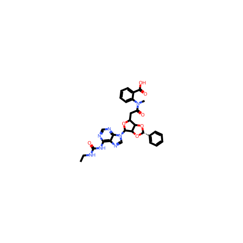 CCNC(=O)Nc1ncnc2c1ncn2C1OC(CC(=O)N(C)c2ccccc2C(=O)O)C2O[C@H](c3ccccc3)OC21